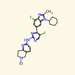 CCN1CCc2nc(Nc3ncc(F)c(-c4cc(F)c5nc(C)n(C6CCCCC6)c5c4)n3)ccc2C1